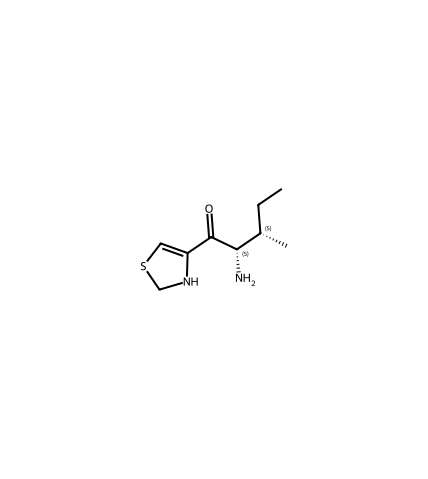 CC[C@H](C)[C@H](N)C(=O)C1=CSCN1